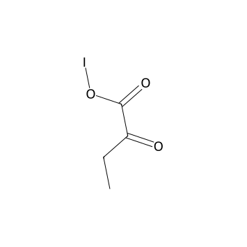 CCC(=O)C(=O)OI